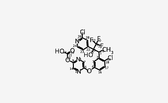 CC(c1cc(Oc2cnc(OC(=O)O)cn2)ccc1Cl)C(O)(c1ccnc(Cl)c1)C(F)(F)F